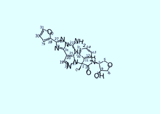 C[C@](C(=O)N[C@H]1COC[C@H]1O)(c1ccccc1)n1ncc2c1nc(N)n1nc(-c3ccco3)nc21